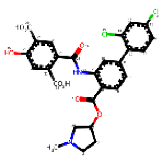 CN1CCC(OC(=O)c2ccc(-c3ccc(Cl)cc3Cl)cc2NC(=O)c2cc(C(=O)O)c(O)cc2C(=O)O)C1